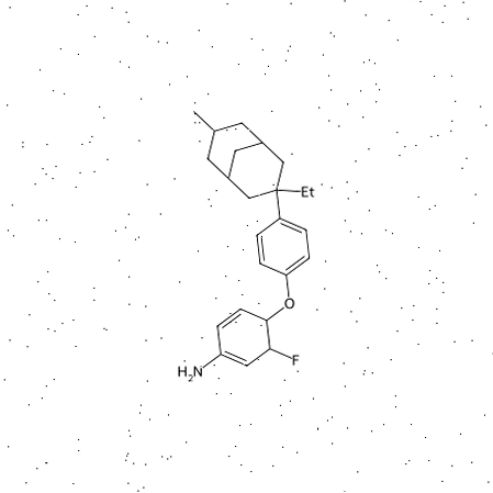 CCC1(c2ccc(OC3C=CC(N)=CC3F)cc2)CC2CC(C)CC(C2)C1